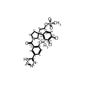 COc1ccc(-c2nnn[nH]2)cc1C(=O)N1CC[C@](CCOS(C)(=O)=O)(c2ccc(Cl)c(Cl)c2)C1